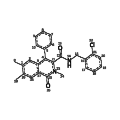 Cc1cc2c(-c3ccccc3)c(C(=O)NCc3ccccc3Cl)n(C)c(=O)c2cc1C